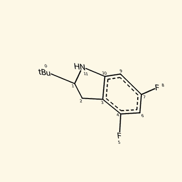 CC(C)(C)C1Cc2c(F)cc(F)cc2N1